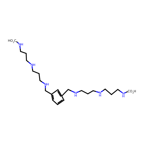 O=C(O)NCCCNCCCNCc1cccc(CNCCCNCCCNC(=O)O)c1